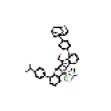 CCC(C)C1=Cc2c(-c3ccc(C(C)C)cc3)cccc2[CH]1[Zr]([Cl])([Cl])([CH]1C(C)=Cc2c(-c3ccc(C45CC6CC(CC(C6)C4)C5)cc3)cccc21)[SiH](C)C